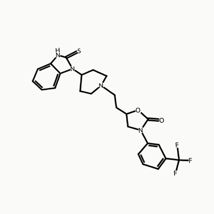 O=C1OC(CCN2CCC(n3c(=S)[nH]c4ccccc43)CC2)CN1c1cccc(C(F)(F)F)c1